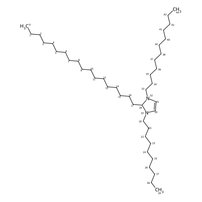 CCCCCCCCCCCCCCCCCCC1N(CCCCCCCCCC)C=CN1CCCCCCCCCCCC